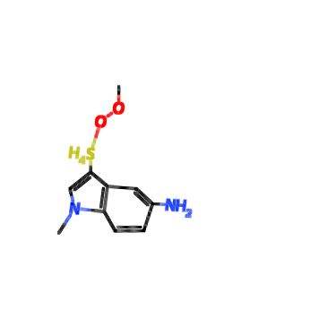 COO[SH4]c1cn(C)c2ccc(N)cc12